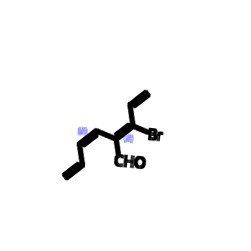 C=C/C=C\C(C=O)=C(\Br)C=C